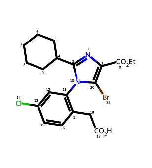 CCOC(=O)c1nc(C2CCCCC2)n(-c2cc(Cl)ccc2CC(=O)O)c1Br